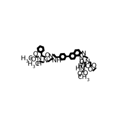 CCCN(Cc1ncc(-c2ccc(-c3ccc4c(ccc5nc(CN(CC6(C)OCCO6)C(=O)CNC(=O)OC)[nH]c54)c3)cc2)[nH]1)C(=O)[C@H](NC(=O)OC)c1ccccc1